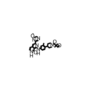 COc1cncc(-c2cc3cc[nH]c(=O)c3c(Nc3ccc(C4CCN(C(=O)C5(C)COC5)CC4)c(C)c3)n2)n1